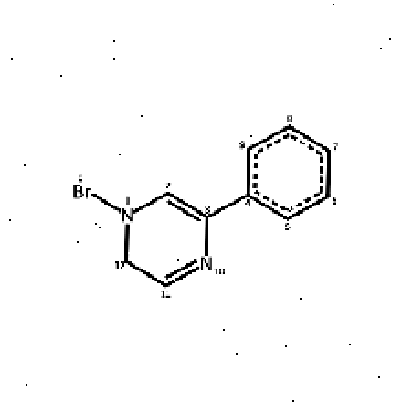 BrN1C=C(c2ccccc2)N=CC1